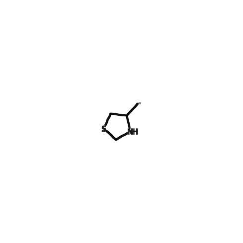 [CH2]C1CSCN1